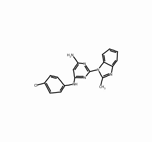 Cc1nc2ccccc2n1-c1nc(N)cc(Nc2ccc(Cl)cc2)n1